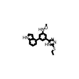 CCSc1nnc(-c2cc(NOC)cc(-c3cccc4[nH]ccc34)c2)[nH]1